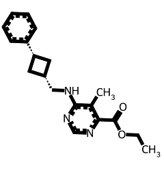 CCOC(=O)c1ncnc(NC[C@H]2C[C@@H](c3ccccc3)C2)c1C